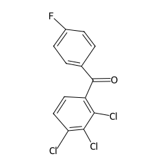 O=C(c1ccc(F)cc1)c1ccc(Cl)c(Cl)c1Cl